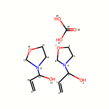 C=CC(O)N1CCOC1.C=CC(O)N1CCOC1.O=C(O)O